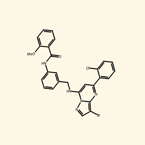 COc1ccccc1C(=O)Nc1cccc(CNc2cc(-c3ccccc3Cl)nc3c(Br)cnn23)c1